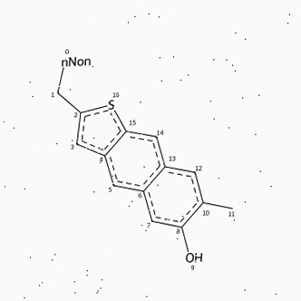 CCCCCCCCCCc1cc2cc3cc(O)c(C)cc3cc2s1